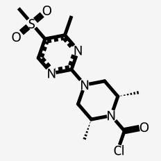 Cc1nc(N2C[C@@H](C)N(C(=O)Cl)[C@@H](C)C2)ncc1S(C)(=O)=O